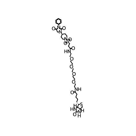 O=C(CCCC[C@@H]1SC[C@@H]2NC(=O)N[C@@H]21)NCCOCCOCCOCCOCCNC(=O)CCS(=O)(=O)N1CCC(N2CC(=O)N(c3ccccc3)C2=O)CC1